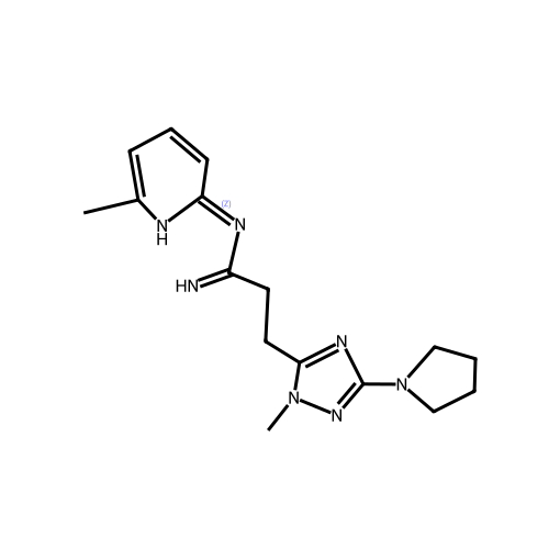 Cc1ccc/c(=N/C(=N)CCc2nc(N3CCCC3)nn2C)[nH]1